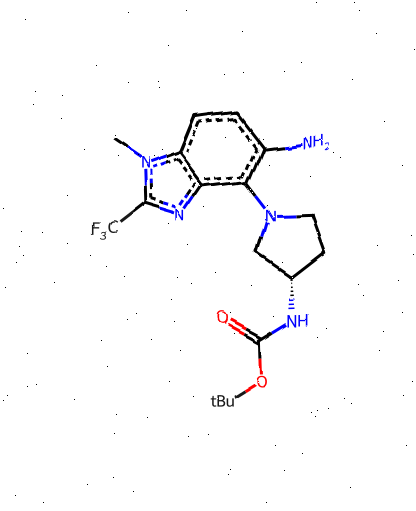 Cn1c(C(F)(F)F)nc2c(N3CC[C@H](NC(=O)OC(C)(C)C)C3)c(N)ccc21